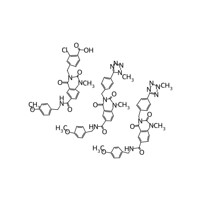 COc1ccc(CNC(=O)c2ccc3c(c2)c(=O)n(Cc2ccc(-c4nnn(C)n4)cc2)c(=O)n3C)cc1.COc1ccc(CNC(=O)c2ccc3c(c2)c(=O)n(Cc2ccc(-c4nnnn4C)cc2)c(=O)n3C)cc1.COc1ccc(CNC(=O)c2ccc3c(c2)c(=O)n(Cc2ccc(C(=O)O)c(Cl)c2)c(=O)n3C)cc1